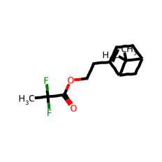 CC(F)(F)C(=O)OCCC1=CCC2CC1C2(C)C